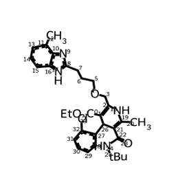 CCOC(=O)C1=C(COCCCc2nc3c(C)cccc3[nH]2)NC(C)=C(C(=O)NC(C)(C)C)C1c1ccccc1Cl